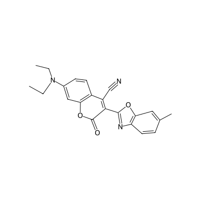 CCN(CC)c1ccc2c(C#N)c(-c3nc4ccc(C)cc4o3)c(=O)oc2c1